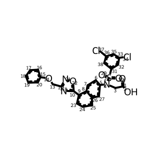 O=C(O)CN(c1ccc2c(-c3nc(COc4ccccc4)no3)cccc2c1)S(=O)(=O)c1cc(Cl)cc(Cl)c1